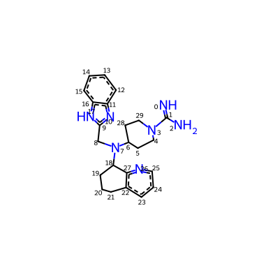 N=C(N)N1CCC(N(Cc2nc3ccccc3[nH]2)C2CCCc3cccnc32)CC1